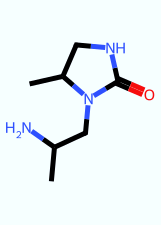 CC(N)CN1C(=O)NCC1C